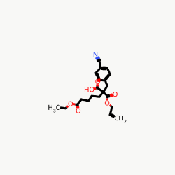 C=CCOC(=O)C(CCCCC(=O)OCC)(Cc1ccc(C#N)cc1)C(=O)O